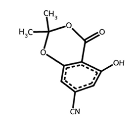 CC1(C)OC(=O)c2c(O)cc(C#N)cc2O1